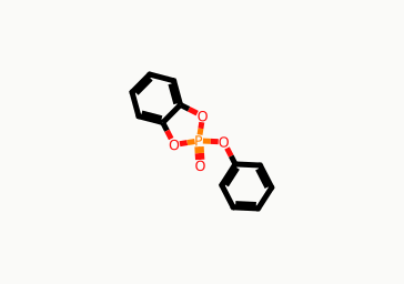 O=P1(Oc2ccccc2)Oc2ccccc2O1